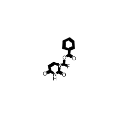 O=C(OC(F)n1ccc(=O)[nH]c1=O)c1ccccc1